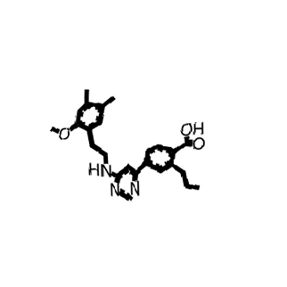 CCCc1cc(-c2cc(NCCc3cc(C)c(C)cc3OC)ncn2)ccc1C(=O)O